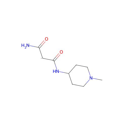 CN1CCC(NC(=O)[CH]C(N)=O)CC1